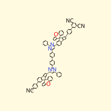 N#Cc1ccc(-c2ccc3c(c2)C2(c4ccccc4Oc4ccccc42)c2cc(-c4cc(-c5ccccc5)nc(-c5ccc(-c6ccc(-c7cc(-c8ccc9c(c8)C8(c%10ccccc%10Oc%10ccccc%108)c8cc(-c%10ccc(-c%11cc(C#N)cc(C#N)c%11)cc%10)ccc8-9)nc(-c8ccccc8)n7)cc6)cc5)n4)ccc2-3)cc1